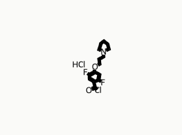 Cl.O=C(Cl)c1cc(F)c(OCCCN2CCCCC2)cc1F